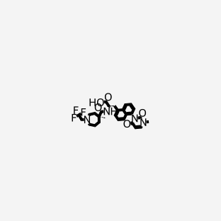 Cn1ccc(=O)n(-c2cccc3c(C[C@H](NC(=O)[C@@]4(C)CCCN(CC(F)(F)F)CC4)C(=O)O)cccc23)c1=O